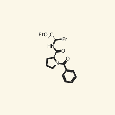 CCOC(=O)[C@@H](NC(=O)[C@@H]1CCCN1C(=O)c1ccccc1)C(C)C